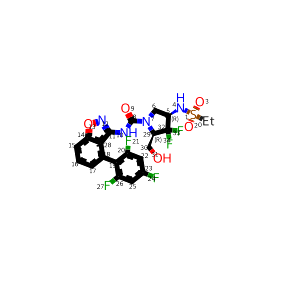 CCS(=O)(=O)N[C@@H]1CN(C(=O)Nc2noc3cccc(-c4c(F)cc(F)cc4F)c23)[C@H](CO)C1(F)F